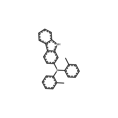 Cc1ccccc1N(c1ccc2c(c1)[nH]c1ccccc12)c1ccccc1C